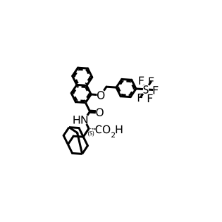 O=C(N[C@H](C(=O)O)C12CC3CC(CC(C3)C1)C2)c1ccc2ccccc2c1OCc1ccc(S(F)(F)(F)(F)F)cc1